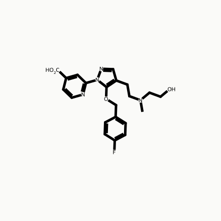 CN(CCO)CCc1cnn(-c2cc(C(=O)O)ccn2)c1OCc1ccc(F)cc1